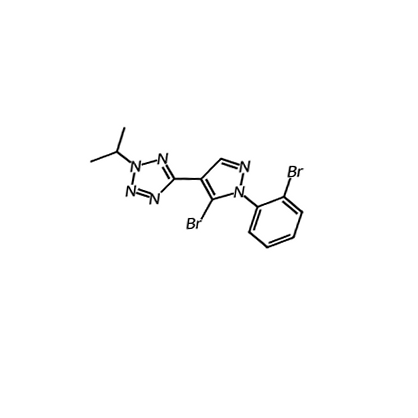 CC(C)n1nnc(-c2cnn(-c3ccccc3Br)c2Br)n1